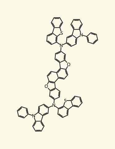 c1ccc(-n2c3ccccc3c3cc(N(c4ccc5c(c4)oc4ccc6c(ccc7oc8cc(N(c9ccc%10c(c9)c9ccccc9n%10-c9ccccc9)c9cccc%10c9sc9ccccc9%10)ccc8c76)c45)c4cccc5c4sc4ccccc45)ccc32)cc1